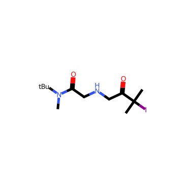 CN(C(=O)CNCC(=O)C(C)(C)I)C(C)(C)C